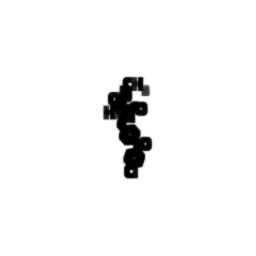 CCOC(=O)c1[nH]c(Cc2ccc(C(=O)c3ccc(Cl)cc3)cc2)nc1C=O